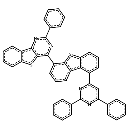 c1ccc(-c2cc(-c3cccc4sc5c(-c6nc(-c7ccccc7)nc7c6sc6ccccc67)cccc5c34)nc(-c3ccccc3)n2)cc1